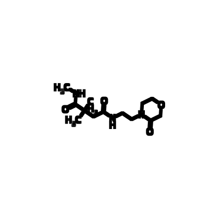 CNC(=O)C(C)(C)CC(=O)NCCN1CCOCC1=O